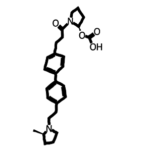 C[C@@H]1CCCN1CCc1ccc(-c2ccc(CCC(=O)N3CCC[C@@H]3OC(=O)O)cc2)cc1